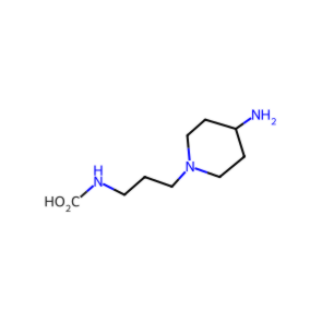 NC1CCN(CCCNC(=O)O)CC1